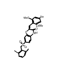 COc1cc(O)cc(OC)c1/C=C1/Sc2cc(S(=O)(=O)Cc3c(C)cccc3C)ccc2NC1=O